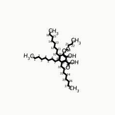 CCCCCCCCc1c(CCCCCCCC)c(OOCCC)c(O)c(C(=O)O)c1CCCCCCCC